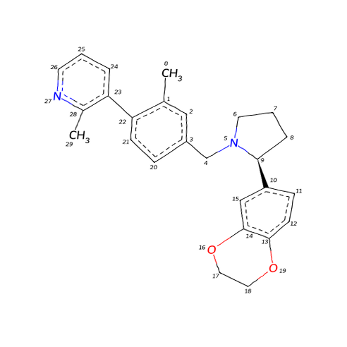 Cc1cc(CN2CCC[C@H]2c2ccc3c(c2)OCCO3)ccc1-c1cccnc1C